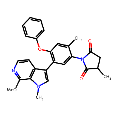 COc1nccc2c(-c3cc(N4C(=O)CC(C)C4=O)c(C)cc3Oc3ccccc3)cn(C)c12